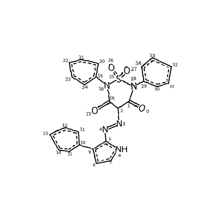 O=C1C(N=Nc2[nH]ccc2-c2ccccc2)C(=O)N(c2ccccc2)S(=O)(=O)N1c1ccccc1